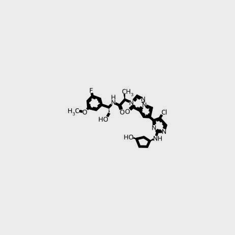 COc1cc(F)cc([C@@H](CO)NC(=O)[C@@H](C)n2cnn3cc(-c4nc(N[C@H]5CC[C@@H](O)C5)ncc4Cl)cc3c2=O)c1